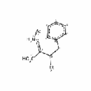 CC(N)=O.CCC(Cc1ccccc1)C(=O)C(=O)O